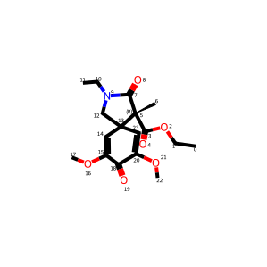 CCOC(=O)[C@@]1(C)C(=O)N(CC)CC12C=C(OC)C(=O)C(OC)=C2